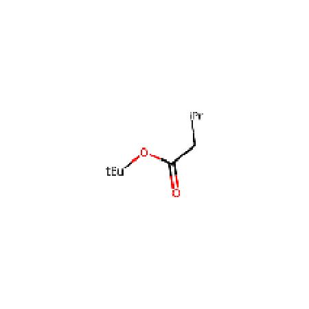 CC(C)CC(=O)OC(C)(C)C